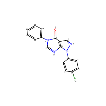 O=c1c2cnn(-c3ccc(Cl)cc3)c2ncn1-c1ccccc1